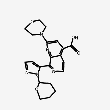 O=C(O)c1cc(N2CCOCC2)nc2c(-c3ccnn3C3CCCCO3)nccc12